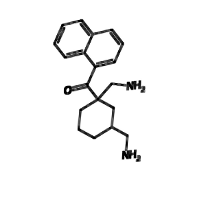 NCC1CCCC(CN)(C(=O)c2cccc3ccccc23)C1